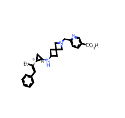 CCC(=Cc1ccccc1)[C@@H]1C[C@H]1NC1CC2(C1)CN(Cc1ccc(C(=O)O)cn1)C2